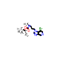 CN(CCCn1cnc2cncc(Br)c21)C(=O)OC(C)(C)C